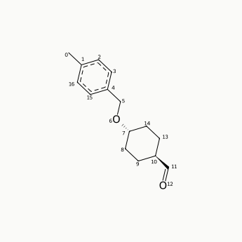 Cc1ccc(CO[C@H]2CC[C@H](C=O)CC2)cc1